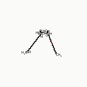 CCCCCCCCCCCCCCCCCCCC(=O)NC(CSSCC(NC(=O)CCCCCCCCCCCCCCCCCCNC)C(=O)O)C(=O)O